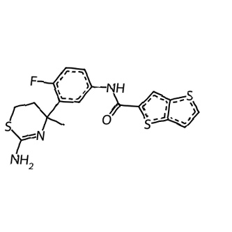 CC1(c2cc(NC(=O)c3cc4sccc4s3)ccc2F)CCSC(N)=N1